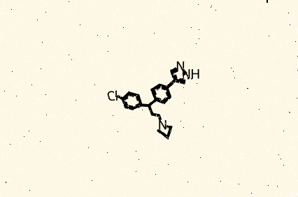 Clc1ccc(C(CCN2CCC2)c2ccc(-c3cn[nH]c3)cc2)cc1